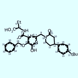 CCC(NC(=O)c1nc(CN2CCC(c3ccc(C(C)(C)C)cc3)CC2=O)nc(O)c1OCc1ccccc1)C(=O)O